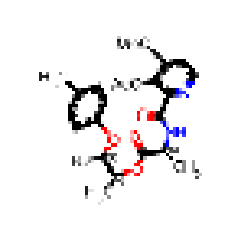 COc1ccnc(C(=O)N[C@@H](C)C(=O)O[C@@H](C)[C@H](Oc2ccc(C)cc2)C(C)(C)C)c1OC(C)=O